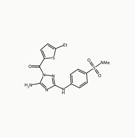 CCc1ccc(C(=O)n2nc(Nc3ccc(S(=O)(=O)NC)cc3)nc2N)s1